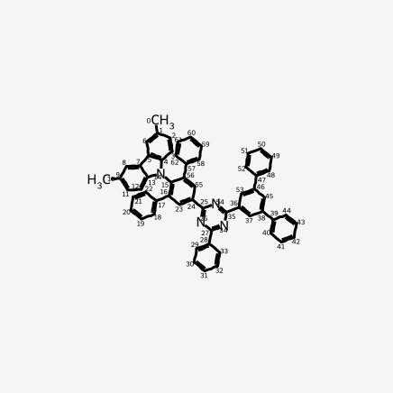 Cc1ccc2c(c1)c1cc(C)ccc1n2-c1c(-c2ccccc2)cc(-c2nc(-c3ccccc3)nc(-c3cc(-c4ccccc4)cc(-c4ccccc4)c3)n2)cc1-c1ccccc1